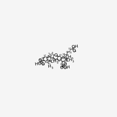 CC1(C)C2=[N+](CCC3Oc4cc5c(cc4C=C23)C(CS(=O)(=O)O)=CC(C)(C)N5CCCCCC(=O)O)c2ccc(S(=O)(=O)O)cc21